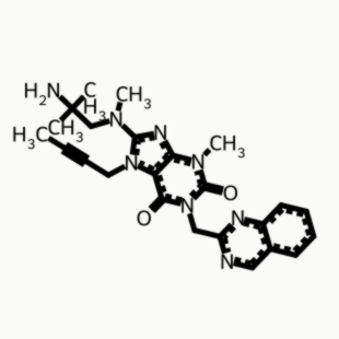 CC#CCn1c(N(C)CC(C)(C)N)nc2c1c(=O)n(Cc1ncc3ccccc3n1)c(=O)n2C